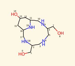 OCC1CNCC(CO)NCC2CC(O)CC(CN1)N2